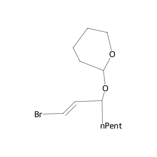 CCCCCC(C=CBr)OC1CCCCO1